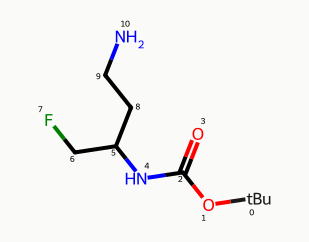 CC(C)(C)OC(=O)NC(CF)CCN